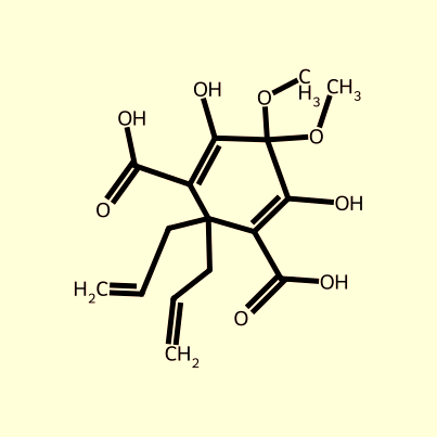 C=CCC1(CC=C)C(C(=O)O)=C(O)C(OC)(OC)C(O)=C1C(=O)O